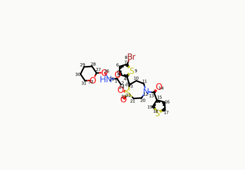 O=C(C[C@]1(c2ccc(Br)s2)CCN(C(=O)c2ccsc2)CCS1(=O)=O)NOC1CCCCO1